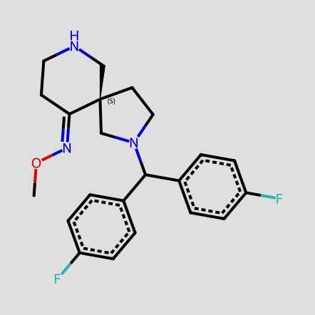 CON=C1CCNC[C@]12CCN(C(c1ccc(F)cc1)c1ccc(F)cc1)C2